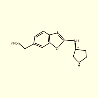 CCCCCCCCCCc1ccc2nc(N[C@H]3CCNC3)oc2c1